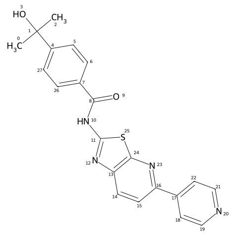 CC(C)(O)c1ccc(C(=O)Nc2nc3ccc(-c4ccncc4)nc3s2)cc1